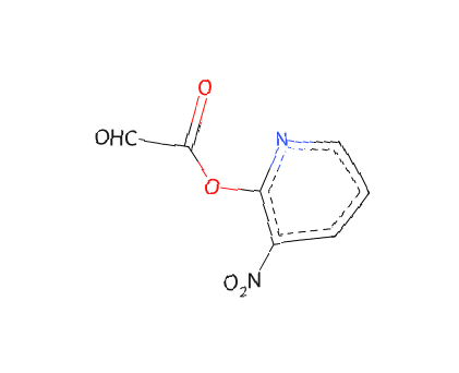 O=CC(=O)Oc1ncccc1[N+](=O)[O-]